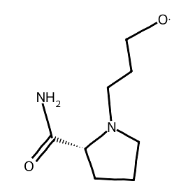 NC(=O)[C@H]1CCCN1CCC[O]